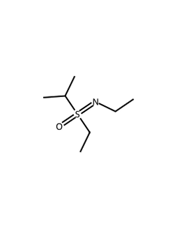 CCN=S(=O)(CC)C(C)C